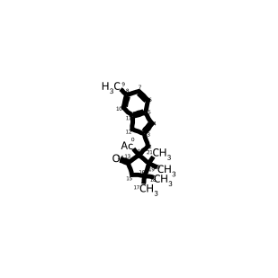 CC(=O)C1(CC2=Cc3ccc(C)cc3C2)C(=O)CC(C)(C)C1(C)C